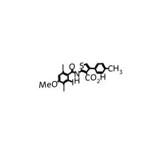 COc1cc(I)c(C(=O)Nc2scc(-c3ccc(C)cc3)c2C(=O)O)c(I)c1I